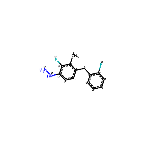 Cc1c(Cc2ccccc2F)ccc(NN)c1F